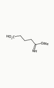 COC(=N)CCCC(=O)O